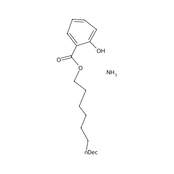 CCCCCCCCCCCCCCCCOC(=O)c1ccccc1O.N